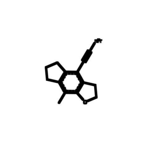 CCCC#Cc1c2c(c(C)c3c1CCO3)CCC2